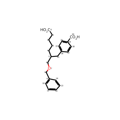 O=C(O)CCCCC(COCc1ccccc1)Cc1ccc(C(=O)O)cc1